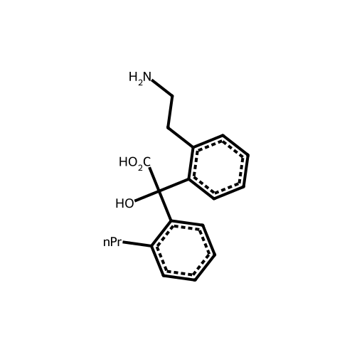 CCCc1ccccc1C(O)(C(=O)O)c1ccccc1CCN